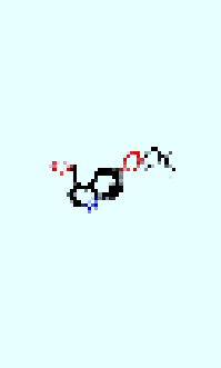 COc1ccc2nccc(C=O)c2c1